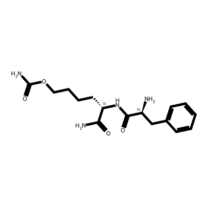 NC(=O)OCCCC[C@H](NC(=O)[C@@H](N)Cc1ccccc1)C(N)=O